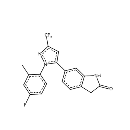 Cc1cc(F)ccc1-n1nc(C(F)(F)F)cc1-c1ccc2c(c1)NC(=O)C2